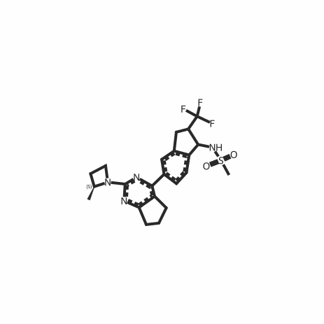 C[C@H]1CCN1c1nc2c(c(-c3ccc4c(c3)CC(C(F)(F)F)C4NS(C)(=O)=O)n1)CCC2